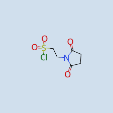 O=C1CCC(=O)N1CCS(=O)(=O)Cl